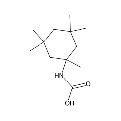 CC1(C)CC(C)(C)CC(C)(NC(=O)O)C1